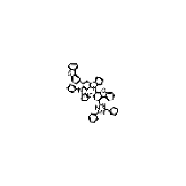 N#Cc1cc(-c2nc(-c3ccccc3)nc(-c3ccccc3)n2)c2c(oc3ccccc32)c1-n1c2ccccc2c2cc(-c3ccc4sc5ccccc5c4c3)c3c(c4ccccc4n3-c3ccccc3)c21